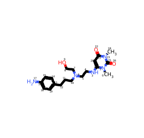 Cn1c(NCCN(CCO)CCCc2ccc(N)cc2)cc(=O)n(C)c1=O